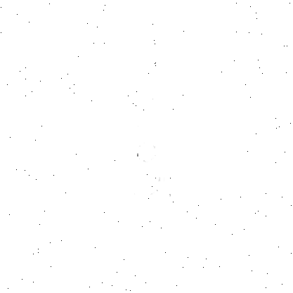 CCC(NC(=O)O)c1ccc(B2OC(C)(C)C(C)(C)O2)cc1